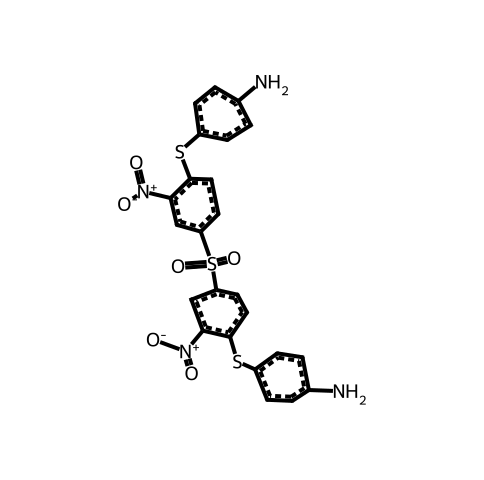 Nc1ccc(Sc2ccc(S(=O)(=O)c3ccc(Sc4ccc(N)cc4)c([N+](=O)[O-])c3)cc2[N+](=O)[O-])cc1